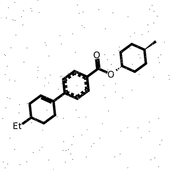 CCC1CC=C(c2ccc(C(=O)O[C@H]3CC[C@H](C)CC3)cc2)CC1